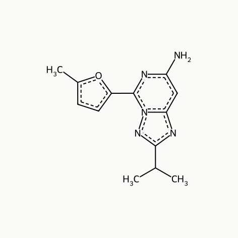 Cc1ccc(-c2nc(N)cc3nc(C(C)C)nn23)o1